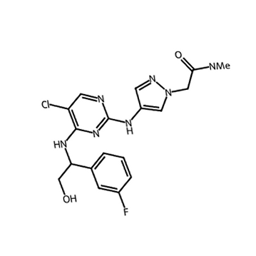 CNC(=O)Cn1cc(Nc2ncc(Cl)c(NC(CO)c3cccc(F)c3)n2)cn1